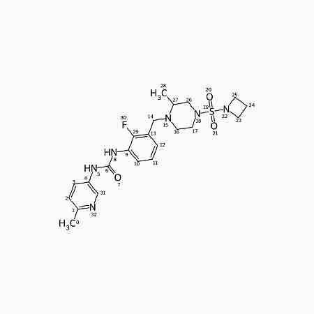 Cc1ccc(NC(=O)Nc2cccc(CN3CCN(S(=O)(=O)N4CCC4)CC3C)c2F)cn1